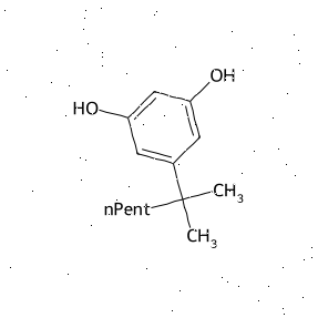 CCCCCC(C)(C)c1cc(O)cc(O)c1